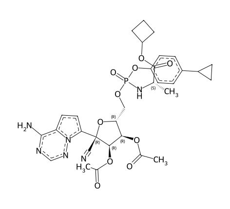 CC(=O)O[C@H]1[C@@H](OC(C)=O)[C@](C#N)(c2ccc3c(N)ncnn23)O[C@@H]1COP(=O)(N[C@@H](C)C(=O)OC1CCC1)Oc1ccc(C2CC2)cc1